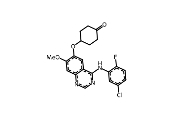 COc1cc2ncnc(Nc3cc(Cl)ccc3F)c2cc1OC1CCC(=O)CC1